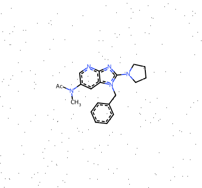 CC(=O)N(C)c1cnc2nc(N3CCCC3)n(Cc3ccccc3)c2c1